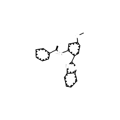 COc1ccc(-c2nc3ccccc3s2)c(NC(=O)c2ccccc2)c1